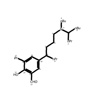 CCCCC(CCC)N(CCCC)CCCC(CCC)c1cc(C=O)c(O)c(C(C)C)c1